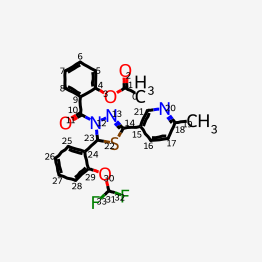 CC(=O)Oc1ccccc1C(=O)N1N=C(c2ccc(C)nc2)SC1c1ccccc1OC(F)F